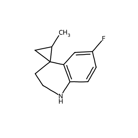 CC1CC12CCNc1ccc(F)cc12